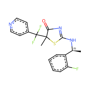 C[C@H](NC1=NC(=O)C(C)(C(F)(F)c2ccncc2)S1)c1ccccc1F